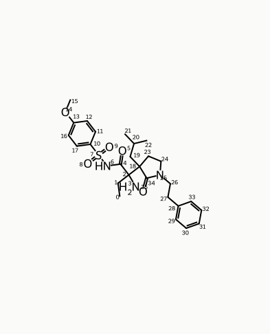 CCC(N)(C(=O)NS(=O)(=O)c1ccc(OC)cc1)C1(CC(C)C)CCN(CCc2ccccc2)C1=O